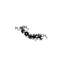 Cc1nn(Cc2ccc(-c3nnc(-c4ccc(N5CCC(N(C)C)C5)cc4)o3)o2)c(C)c1Br